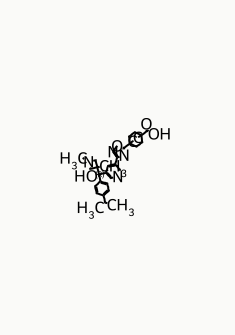 CC(C)c1ccc([C@](O)(c2cncc(-c3noc(C45CCC(C(=O)O)(CC4)CC5)n3)c2)C2(C)CN(C)C2)cc1